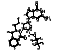 CCSSC(C)c1ccccc1C(=O)O[C@@H]1C[C@H](N2C=NC3C(=O)NC(N)=NC32)O[C@@H]1CO[Si](C)(C)C(C)(C)C